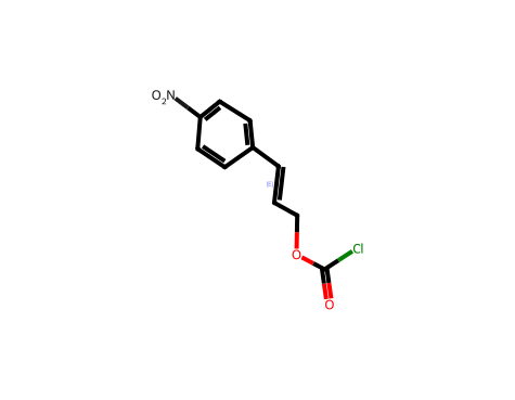 O=C(Cl)OC/C=C/c1ccc([N+](=O)[O-])cc1